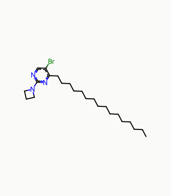 CCCCCCCCCCCCCCCCc1nc(N2CCC2)ncc1Br